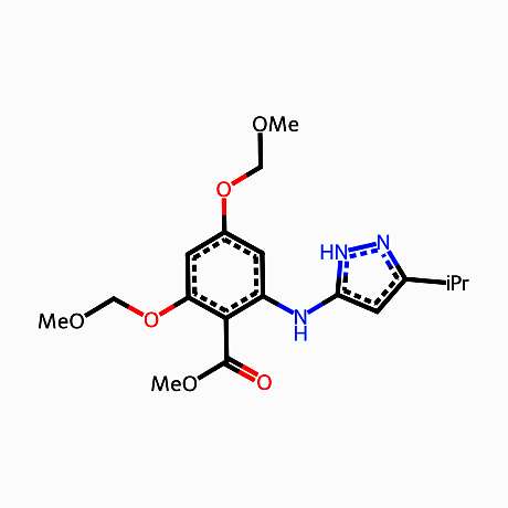 COCOc1cc(Nc2cc(C(C)C)n[nH]2)c(C(=O)OC)c(OCOC)c1